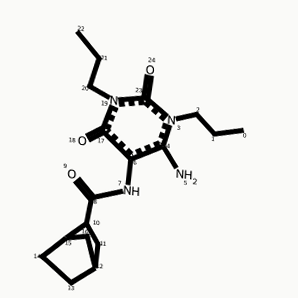 CCCn1c(N)c(NC(=O)C2CC3CCC2C3)c(=O)n(CCC)c1=O